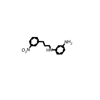 Nc1cccc(NCCCc2cccc([N+](=O)[O-])c2)c1